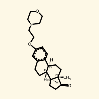 C[C@]12CC[C@@H]3c4ccc(OCCN5CCOCC5)cc4CC[C@H]3[C@@H]1CCC2=O